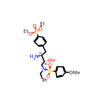 CCOP(=O)(OCC)c1ccc(C[C@H](N)[C@H](O)CN(CC(C)C)S(=O)(=O)c2ccc(OC)cc2)cc1